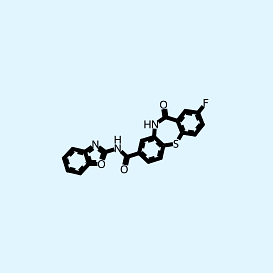 O=C(Nc1nc2ccccc2o1)c1ccc2c(c1)NC(=O)c1cc(F)ccc1S2